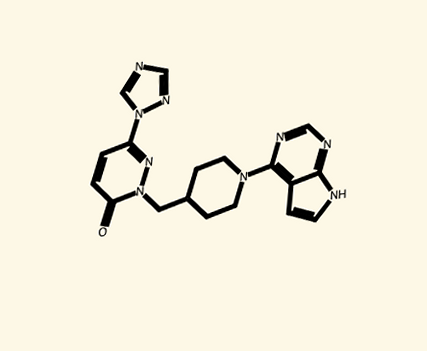 O=c1ccc(-n2cncn2)nn1CC1CCN(c2ncnc3[nH]ccc23)CC1